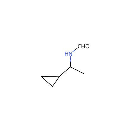 CC(NC=O)C1CC1